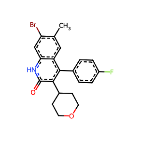 Cc1cc2c(-c3ccc(F)cc3)c(C3CCOCC3)c(=O)[nH]c2cc1Br